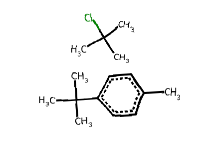 CC(C)(C)Cl.Cc1ccc(C(C)(C)C)cc1